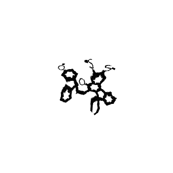 CCC1(CC)c2ccccc2-c2c1c1c(c3cc(SC)c(SC)cc23)OC(c2ccccc2)(c2ccc(OC)cc2)C=C1